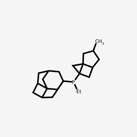 CCP(C12CC3CC4CC(C1)C4(C3)C2)C12CC3CC(C)CC31C2